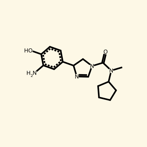 CN(C(=O)N1C=NC(c2ccc(O)c(N)c2)C1)C1CCCC1